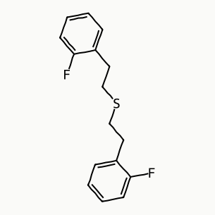 Fc1ccccc1CCSCCc1ccccc1F